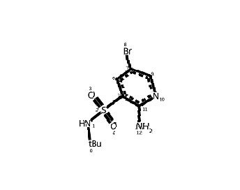 CC(C)(C)NS(=O)(=O)c1cc(Br)cnc1N